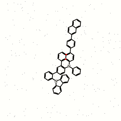 c1ccc(-c2cc(-c3ccccc3-n3c4ccccc4c4ccccc43)ccc2N(c2ccccc2)c2ccc(-c3ccc(-c4ccc5ccccc5c4)cc3)cc2)cc1